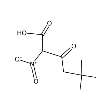 CC(C)(C)CC(=O)C(C(=O)O)[N+](=O)[O-]